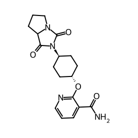 NC(=O)c1cccnc1O[C@H]1CC[C@H](N2C(=O)C3CCCN3C2=O)CC1